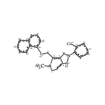 CN1CC=C2NN(c3ccccc3Cl)CC2=C1COc1cccc2ccccc12